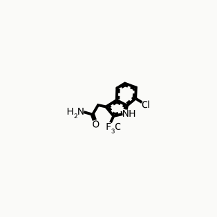 NC(=O)Cc1c(C(F)(F)F)[nH]c2c(Cl)cccc12